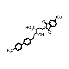 CC(C)(C)c1ccc2c(c1)C(=O)N(CC[C@H](C(=O)O)[C@H](O)CCc1ccc(-c3ccc(C(F)(F)F)cc3)cc1)C2=O